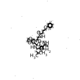 CC(C)C[C@H](NC(=O)C1CC2(CN1C(=O)CNC(=O)CCCOc1ccccc1)OCCO2)c1cc(C(=N)N)cs1